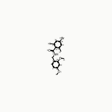 COc1ccc(CNC(=O)c2c(C)cc(Br)cc2I)c(OC)c1